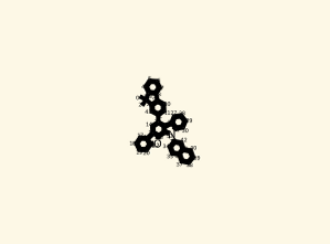 CC1(C)c2ccccc2-c2ccc(-c3cc4c5ccccc5oc4c4c3c3ccccc3n4-c3ccc4ccccc4c3)cc21